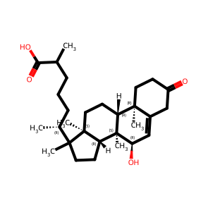 CC(CCC[C@@H](C)C1(C)CC[C@H]2[C@]3(C)[C@H](O)C=C4CC(=O)CC[C@]4(C)[C@H]3CC[C@@]21C)C(=O)O